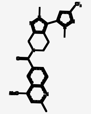 COc1cc(C)nc2ccc(C(=O)N3CCc4c(nn(C)c4-c4cc(C(F)(F)F)nn4C)C3)cc12